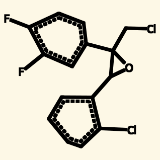 Fc1ccc(C2(CCl)OC2c2ccccc2Cl)cc1F